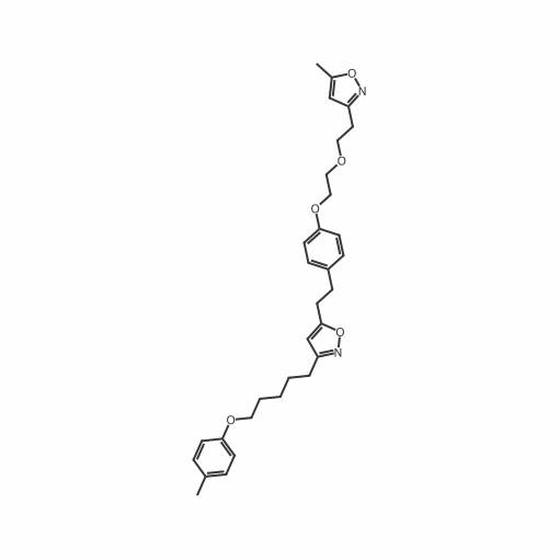 Cc1ccc(OCCCCCc2cc(CCc3ccc(OCCOCCc4cc(C)on4)cc3)on2)cc1